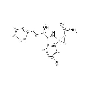 NC(=O)C1C[C@@]1(NC[C@H](O)[CH]Cc1ccccc1)c1cccc(Br)c1